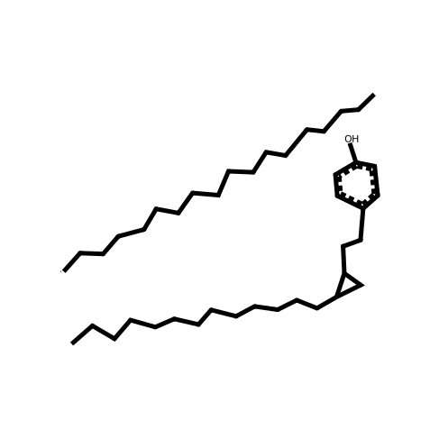 CCCCCCCCCCCCCC1CC1CCc1ccc(O)cc1.[CH2]CCCCCCCCCCCCCCCCC